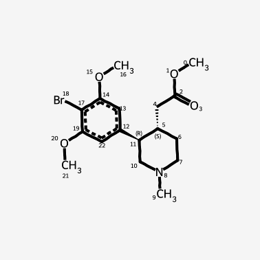 COC(=O)C[C@@H]1CCN(C)C[C@H]1c1cc(OC)c(Br)c(OC)c1